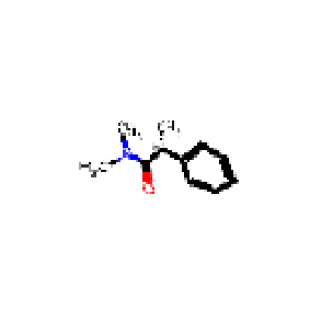 C[C@@H](C(=O)N(C)C)c1ccccc1